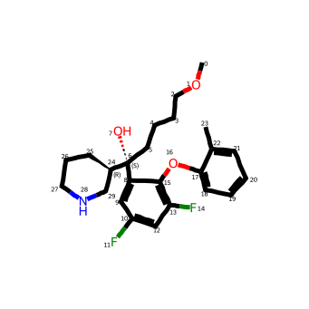 COCCCC[C@@](O)(c1cc(F)cc(F)c1Oc1ccccc1C)[C@@H]1CCCNC1